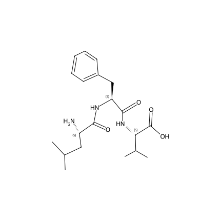 CC(C)C[C@H](N)C(=O)N[C@@H](Cc1ccccc1)C(=O)N[C@H](C(=O)O)C(C)C